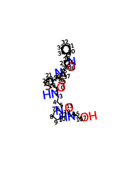 O=C(NCCCN1CCCC[C@H]1C(=O)NCCO)c1sccc1-c1nc(-c2cc(-c3ccccc3)no2)cs1